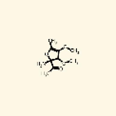 COC1=C(C)OC(N)(C(C)=O)C1OC